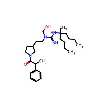 CCCCC(C)(CCCC)NC(=N)N(CO)CCC1CCN(C(=O)C(C)c2ccccc2)C1